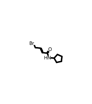 O=C(/C=C/CBr)NC1CCCC1